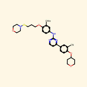 COc1cc(Nc2nccc(-c3ccc(OC4CCOCC4)c(C#N)c3)n2)ccc1OCCCSN1CCOCC1